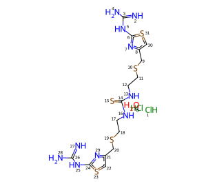 Cl.Cl.N=C(N)Nc1nc(CSCCNC(=S)NCCSCc2csc(NC(=N)N)n2)cs1.O